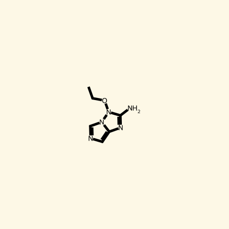 CCOn1c(N)nc2cncn21